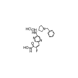 Cl.Cl.O=C(NO)/C(F)=C\c1cnc(N[C@@H]2CCN(Cc3ccccc3)C2)cn1